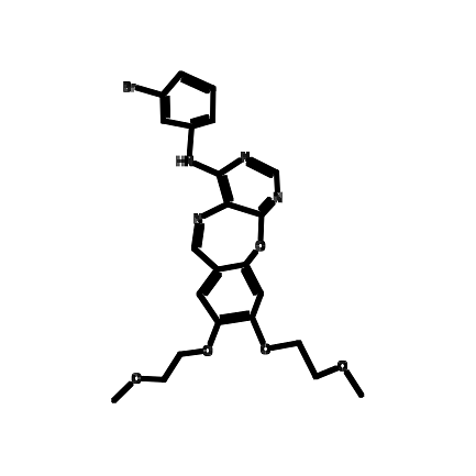 COCCOc1cc2c(cc1OCCOC)Oc1ncnc(Nc3cccc(Br)c3)c1N=C2